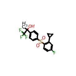 CC(O)(c1ccc(S(=O)(=O)c2ccc(F)cc2C2CC2)cc1)C(F)(F)F